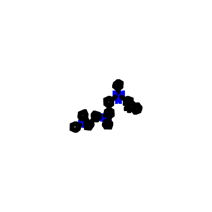 CC1(C)c2ccccc2-c2ccc(-c3nc(-c4ccccc4)nc(-c4cccc(-c5ccc6c7ccccc7n(-c7cccc(-c8cccc9c8c8ccccc8n9C8=CCCC=C8)c7)c6c5)c4)n3)cc21